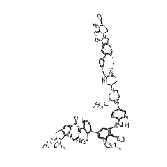 C[C@H]1CN([C@@H]2CCN3Cc4cc5c(cc4OC[C@@H]3C2)C(=O)N(C2CCC(=O)NC2=O)C5)CCN1c1ccc(Nc2cc(-c3ccnc(N4CCn5c(cc6c5CC(C)(C)C6)C4=O)c3CO)cn(C)c2=O)nc1